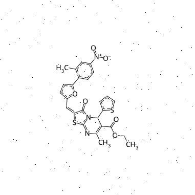 CCOC(=O)C1=C(C)N=c2s/c(=C/c3ccc(-c4ccc([N+](=O)[O-])cc4C)o3)c(=O)n2C1c1cccs1